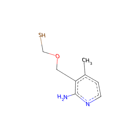 Cc1ccnc(N)c1COCS